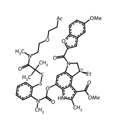 CC[C@@H]1CN(C(=O)c2cc3cc(OC)ccc3o2)c2cc(OC(=O)N(C)c3ccccc3SSC(C)(C)C(=O)N(C)CCOCCC(C)=O)c3[nH]c(C)c(C(=O)OC)c3c21